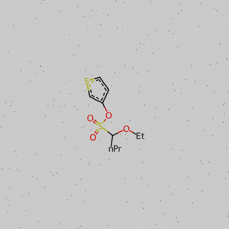 CCCC(OCC)S(=O)(=O)Oc1ccsc1